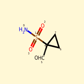 NS(=O)(=O)C1(C=O)CC1